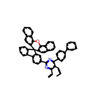 C=Cc1nc(-c2ccc3c(c2)C2(c4ccccc4-3)c3ccc4ccccc4c3Oc3c2ccc2ccccc32)nc(-c2ccc(-c3ccccc3)cc2)c1/C=C\C